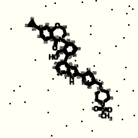 CS(=O)(=O)N1CCN(Cc2ccc(-c3cc4c(-c5cccc(N6CCOc7cc(C8CC8)ccc7C6=O)c5CO)ccnc4[nH]3)nc2)CC1